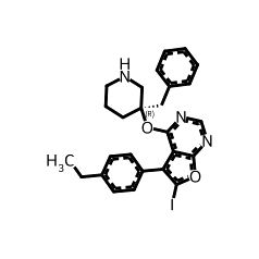 CCc1ccc(-c2c(I)oc3ncnc(O[C@@]4(Cc5ccccc5)CCCNC4)c23)cc1